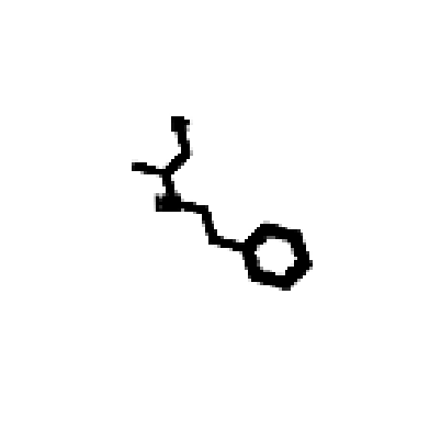 C[C@@H](CBr)NCCc1ccccc1